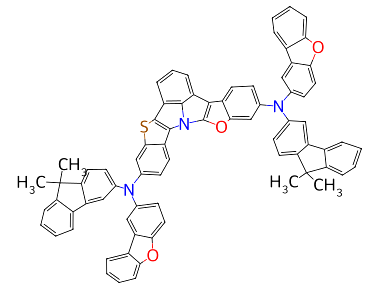 CC1(C)c2ccccc2-c2cc(N(c3ccc4c(c3)oc3c4c4cccc5c6sc7cc(N(c8ccc9c(c8)-c8ccccc8C9(C)C)c8ccc9oc%10ccccc%10c9c8)ccc7c6n3c54)c3ccc4oc5ccccc5c4c3)ccc21